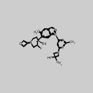 CC[C@]1(c2cc3c(cnn3-c3cc(N4CC(C)(O)C4)nc(C)n3)cc2C)CCN(C2COC2)CC1F